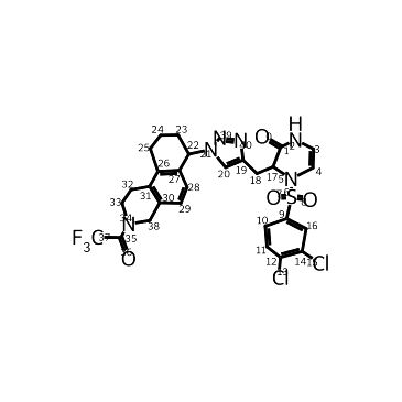 O=C1NC=CN(S(=O)(=O)c2ccc(Cl)c(Cl)c2)C1Cc1cn(C2CCCc3c2ccc2c3CCN(C(=O)C(F)(F)F)C2)nn1